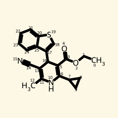 CCOC(=O)C1=C(C2CC2)NC(C)=C(C#N)C1c1csc2ccccc12